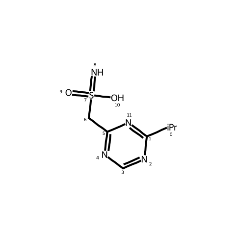 CC(C)c1ncnc(CS(=N)(=O)O)n1